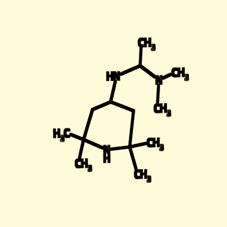 CC(NC1CC(C)(C)NC(C)(C)C1)N(C)C